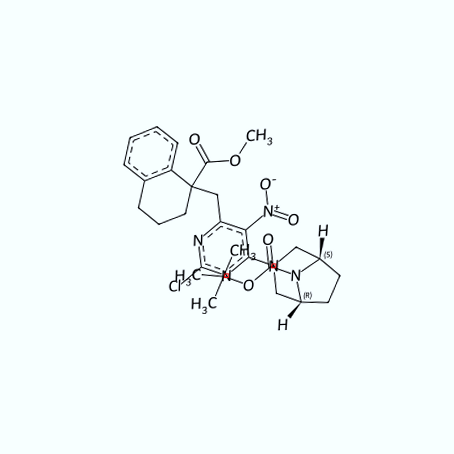 COC(=O)C1(Cc2nc(Cl)nc(N3C[C@H]4CC[C@@H](C3)N4C(=O)OC(C)(C)C)c2[N+](=O)[O-])CCCc2ccccc21